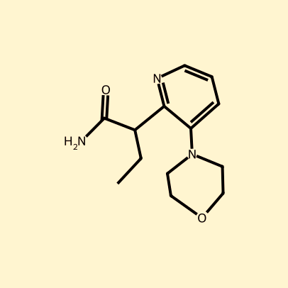 CCC(C(N)=O)c1ncccc1N1CCOCC1